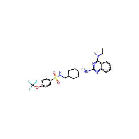 CCN(C)c1nc(NC[C@H]2CC[C@H](CNS(=O)(=O)c3ccc(OC(F)(F)F)cc3)CC2)nc2ccccc12